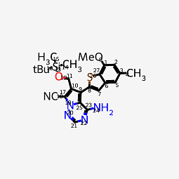 COc1cc(C)cc2cc(-c3c(CO[Si](C)(C)C(C)(C)C)c(C#N)n4ncnc(N)c34)sc12